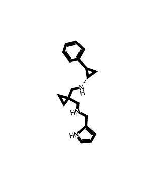 c1ccc(C2C[C@@H]2NCC2(CNCc3ccc[nH]3)CC2)cc1